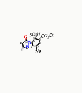 CCOC(=O)c1c[c]([Na])ccc1S(=O)(=O)O.O=C1C=CN=N1